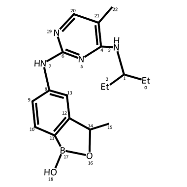 CCC(CC)Nc1nc(Nc2ccc3c(c2)C(C)OB3O)ncc1C